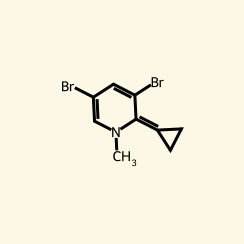 CN1C=C(Br)C=C(Br)C1=C1CC1